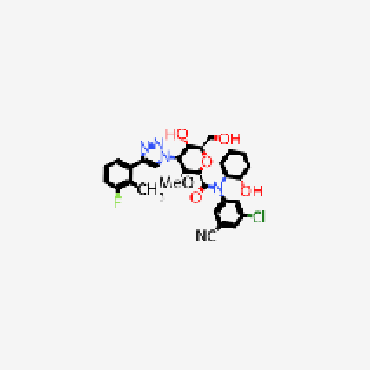 CO[C@@H]1[C@@H](n2cc(-c3cccc(F)c3C)nn2)[C@@H](O)[C@@H](CO)O[C@H]1C(=O)N(c1cc(Cl)cc(C#N)c1)[C@H]1CCCC[C@@H]1O